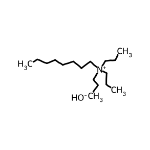 CCCCCCCC[N+](CCC)(CCC)CCC.[OH-]